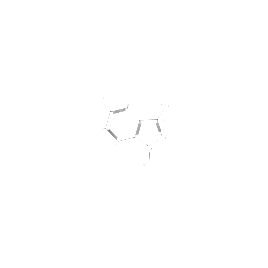 CCOC(=O)n1nc(N)c2cc(C(F)(F)F)ccc21